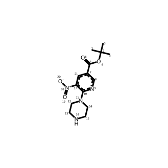 CC(C)(C)OC(=O)c1cnc(N2CCNCC2)c([N+](=O)[O-])c1